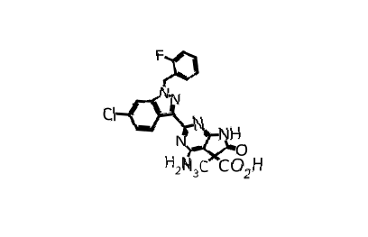 CC1(C(=O)O)C(=O)Nc2nc(-c3nn(Cc4ccccc4F)c4cc(Cl)ccc34)nc(N)c21